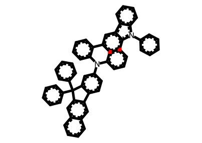 c1ccc(N(c2ccc3c(c2)C(c2ccccc2)(c2ccccc2)c2cc4ccccc4cc2-3)c2ccccc2-c2ccc3c(c2)c2ccccc2n3-c2ccccc2)cc1